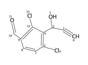 C#CC(O)c1c(Cl)ccc(C=O)c1Cl